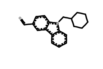 O=Cc1ccc2c(c1)c1ccccc1n2CC1CCCCC1